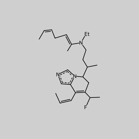 C/C=C\C/C=C(\C)N(CC)CCC(C)C1CC(C(C)F)=C(/C=C\C)c2cncn21